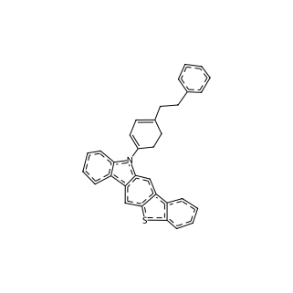 C1=C(CCc2ccccc2)CCC(n2c3ccccc3c3cc4sc5ccccc5c4cc32)=C1